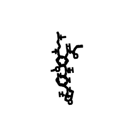 C=CC(=O)Nc1cc(Nc2nccc(N3CC4OC[C@H]43)n2)c(OC)cc1N(C)CCN(C)C